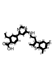 CCc1cc(-c2cc(NCCc3c(C)sc4c(C)cc(F)cc34)ncn2)ccc1C(=O)O